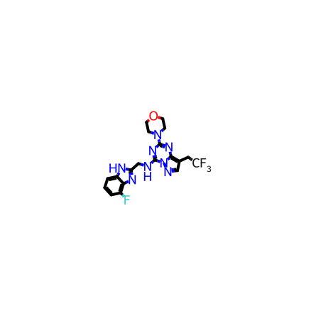 Fc1cccc2[nH]c(CNc3nc(N4CCOCC4)nc4c(CC(F)(F)F)cnn34)nc12